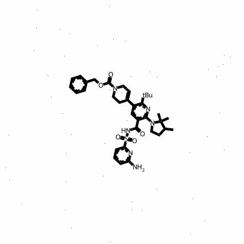 CC1CCN(c2nc(C(C)(C)C)c(C3=CCN(C(=O)OCc4ccccc4)CC3)cc2C(=O)NS(=O)(=O)c2cccc(N)n2)C1(C)C